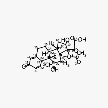 CC(=O)O[C@]1(C(=O)C(=O)O)[C@H](O)C[C@H]2[C@@H]3CCC4=CC(=O)C=C[C@]4(C)[C@@]3(F)[C@@H](O)C[C@@]21C